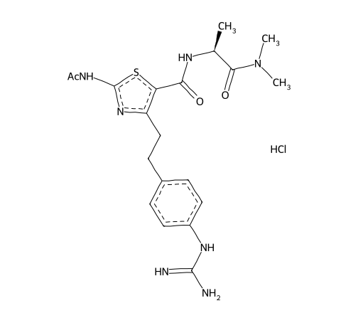 CC(=O)Nc1nc(CCc2ccc(NC(=N)N)cc2)c(C(=O)N[C@@H](C)C(=O)N(C)C)s1.Cl